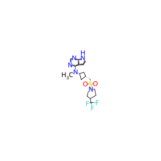 CN(c1ncnc2[nH]ccc12)[C@H]1C[C@@H](CS(=O)(=O)N2CCC(C(F)(F)F)CC2)C1